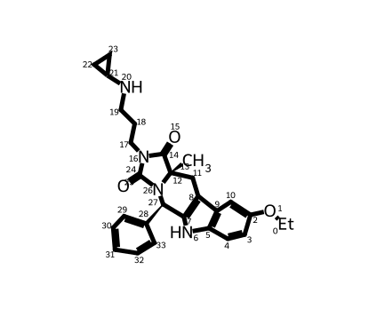 CCOc1ccc2[nH]c3c(c2c1)C[C@@]1(C)C(=O)N(CCCNC2CC2)C(=O)N1[C@@H]3c1ccccc1